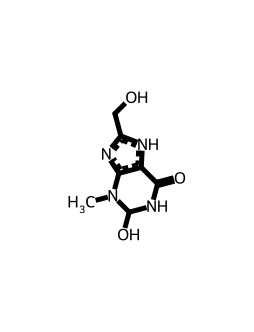 CN1c2nc(CO)[nH]c2C(=O)NC1O